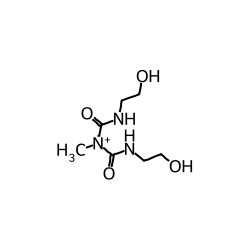 C[N+](C(=O)NCCO)C(=O)NCCO